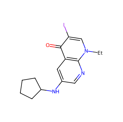 CCn1cc(I)c(=O)c2cc(NC3CCCC3)cnc21